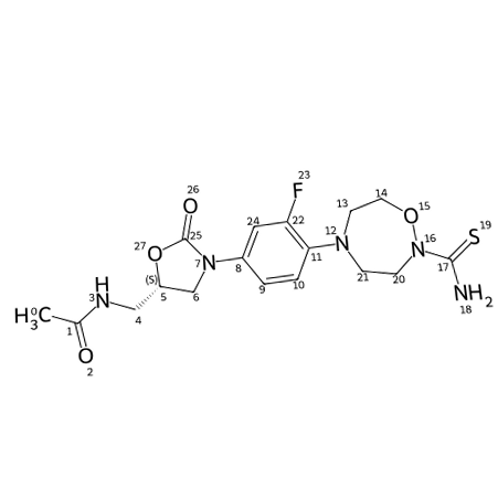 CC(=O)NC[C@H]1CN(c2ccc(N3CCON(C(N)=S)CC3)c(F)c2)C(=O)O1